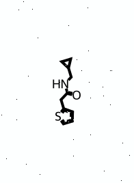 O=C(Cc1cccs1)NCC1CC1